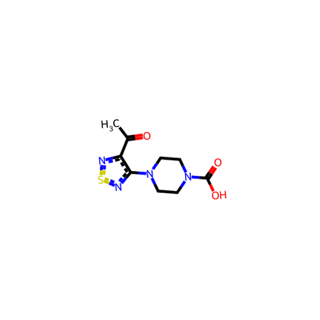 CC(=O)c1nsnc1N1CCN(C(=O)O)CC1